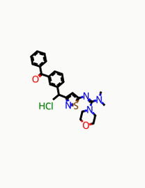 CC(c1cccc(C(=O)c2ccccc2)c1)c1cc(N=C(N(C)C)N2CCOCC2)sn1.Cl